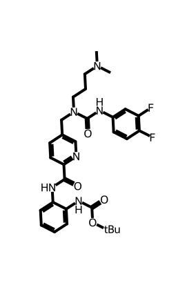 CN(C)CCCN(Cc1ccc(C(=O)Nc2ccccc2NC(=O)OC(C)(C)C)nc1)C(=O)Nc1ccc(F)c(F)c1